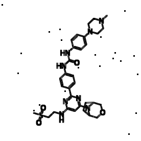 CN1CCN(c2ccc(NC(=O)Nc3ccc(-c4nc(NCCS(C)(=O)=O)cc(N5C6CCC5COC6)n4)cc3)cc2)CC1